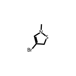 CN1C=C(Br)CS1